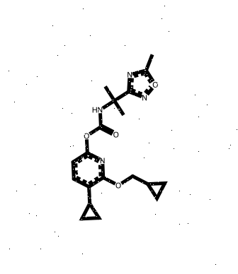 Cc1nc(C(C)(C)NC(=O)Oc2ccc(C3CC3)c(OCC3CC3)n2)no1